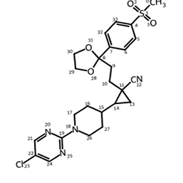 CS(=O)(=O)c1ccc(C2(CCC3(C#N)CC3C3CCN(c4ncc(Cl)cn4)CC3)OCCO2)cc1